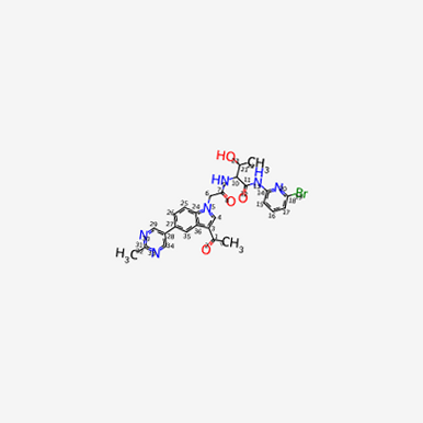 CC(=O)c1cn(CC(=O)NC(C(=O)Nc2cccc(Br)n2)C(C)O)c2ccc(-c3cnc(C)nc3)cc12